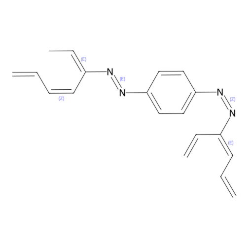 C=C\C=C/C(=C\C)/N=N/c1ccc(/N=N\C(C=C)=C\C=C)cc1